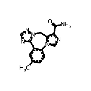 Cc1ccc2c(c1)-c1ncnn1Cc1c(C(N)=O)ncn1-2